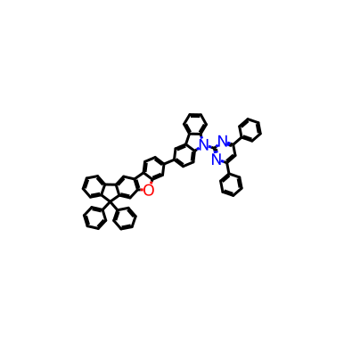 c1ccc(-c2cc(-c3ccccc3)nc(-n3c4ccccc4c4cc(-c5ccc6c(c5)oc5cc7c(cc56)-c5ccccc5C7(c5ccccc5)c5ccccc5)ccc43)n2)cc1